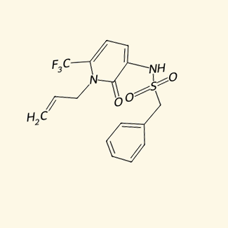 C=CCn1c(C(F)(F)F)ccc(NS(=O)(=O)Cc2ccccc2)c1=O